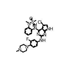 CN1CCN(c2ccc(Nc3nc(Nc4ccccc4N(C)S(C)(=O)=O)c4c(Cl)c[nH]c4n3)cc2F)CC1